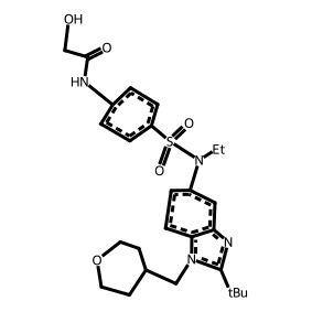 CCN(c1ccc2c(c1)nc(C(C)(C)C)n2CC1CCOCC1)S(=O)(=O)c1ccc(NC(=O)CO)cc1